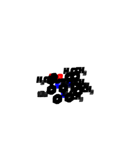 Cc1ccc2oc3c(c2c1)N(c1ccc(C(C)(C)C)cc1-c1ccccc1)c1cc(N(c2ccccc2)c2ccccc2)cc2c1B3c1ccc3c(c1N2c1ccc2c(c1)C(C)(C)CCC2(C)C)C(C)(C)CCC3(C)C